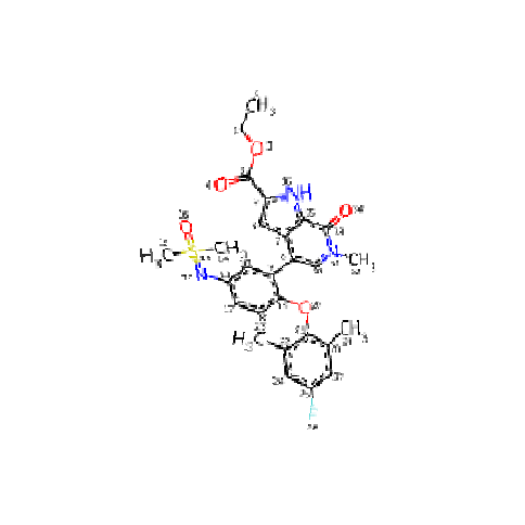 CCOC(=O)c1cc2c(-c3cc(N=S(C)(C)=O)ccc3Oc3c(C)cc(F)cc3C)cn(C)c(=O)c2[nH]1